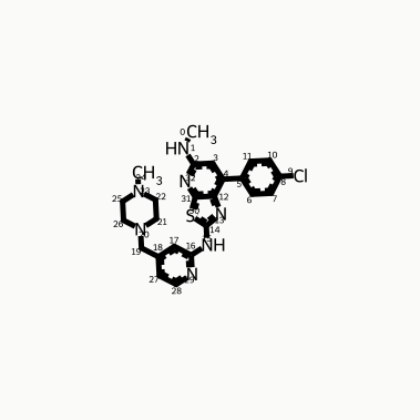 CNc1cc(-c2ccc(Cl)cc2)c2nc(Nc3cc(CN4CCN(C)CC4)ccn3)sc2n1